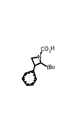 CC(C)(C)C1C(c2ccccc2)CN1C(=O)O